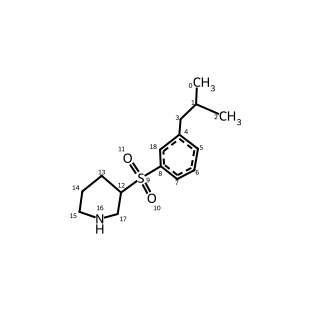 CC(C)Cc1cccc(S(=O)(=O)C2CCCNC2)c1